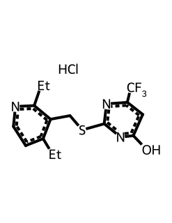 CCc1ccnc(CC)c1CSc1nc(O)cc(C(F)(F)F)n1.Cl